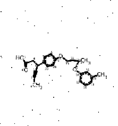 CC#CC(CC(=O)O)c1ccc(OCC[C@@H](C)Oc2cccc(C)c2)cc1